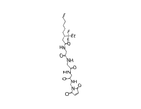 C=CCCCCC(CC(=O)NCC(=O)NCC(=O)NCC(=O)NCN1C(=O)C=CC1=O)C(F)(F)CC